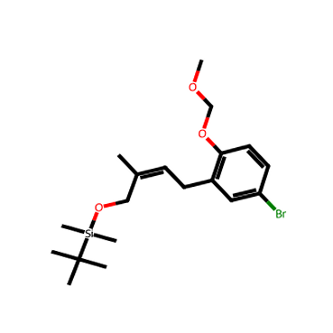 COCOc1ccc(Br)cc1CC=C(C)CO[Si](C)(C)C(C)(C)C